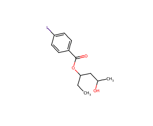 CCC(CC(C)O)OC(=O)c1ccc(I)cc1